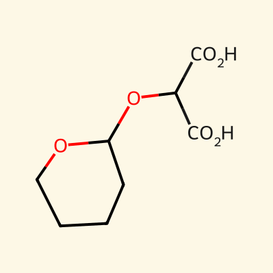 O=C(O)C(OC1CCCCO1)C(=O)O